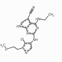 CCNc1nc(Nc2cnn(CCOC)c2Cl)nc2[nH]cc(C#N)c12